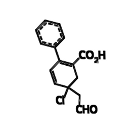 O=CCC1(Cl)C=CC(c2ccccc2)=C(C(=O)O)C1